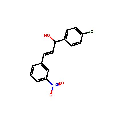 O=[N+]([O-])c1cccc(C=CC(O)c2ccc(Cl)cc2)c1